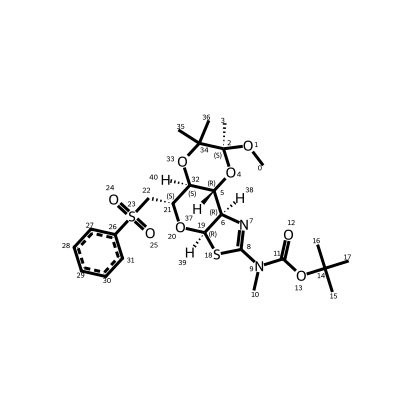 CO[C@@]1(C)O[C@@H]2[C@H]3N=C(N(C)C(=O)OC(C)(C)C)S[C@H]3O[C@H](CS(=O)(=O)c3ccccc3)[C@H]2OC1(C)C